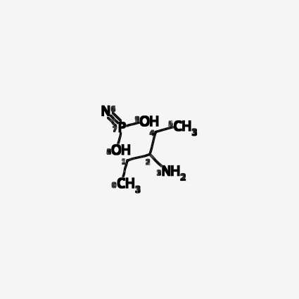 CCC(N)CC.N#P(O)O